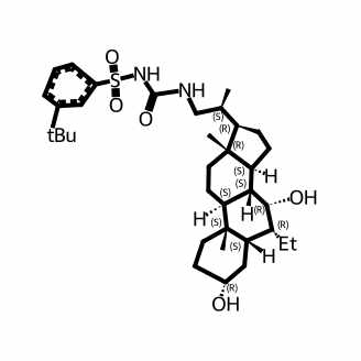 CC[C@H]1[C@@H](O)[C@@H]2[C@H](CC[C@]3(C)[C@@H]([C@H](C)CNC(=O)NS(=O)(=O)c4cccc(C(C)(C)C)c4)CC[C@@H]23)[C@@]2(C)CC[C@@H](O)C[C@@H]12